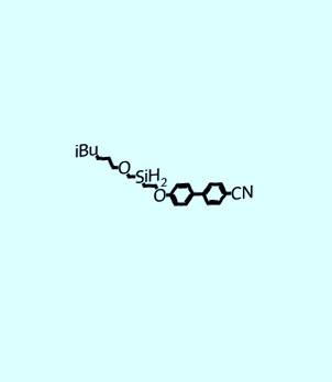 CCC(C)CCCOC[SiH2]CCOc1ccc(-c2ccc(C#N)cc2)cc1